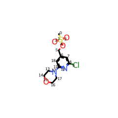 CS(=O)(=O)OCc1cc(Cl)nc(N2CCOCC2)c1